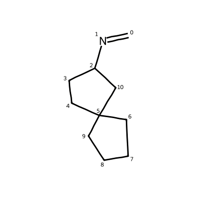 C=NC1CCC2(CCCC2)C1